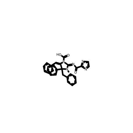 CN1C(=NC(=O)c2nccs2)N(C(=O)O)C(=Cc2ccccc2)C1(Cc1ccccc1)c1ccccc1